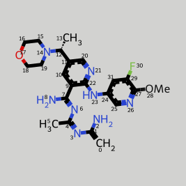 C=C(N)/N=C(C)\N=C(/N)c1cc([C@@H](C)N2CCOCC2)cnc1Nc1cnc(OC)c(F)c1